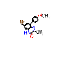 COc1ccc(-c2cc(CBr)cc3[nH]c(=O)c(C)nc23)cc1